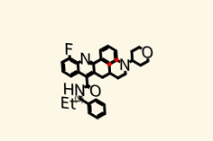 CC[C@H](NC(=O)c1c(CC2CCN(C3CCOCC3)CC2)c(-c2ccccc2)nc2c(F)cccc12)c1ccccc1